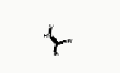 CC(C)C(=[NH+][O-])C(C)C